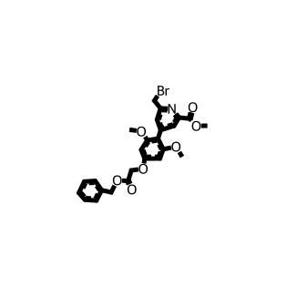 COC(=O)c1cc(-c2c(OC)cc(OCC(=O)OCc3ccccc3)cc2OC)cc(CBr)n1